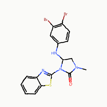 CN1CC(Nc2ccc(Br)c(Br)c2)N(c2nc3ccccc3s2)C1=O